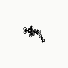 COC(=O)c1cc(OC)c(NCc2cnn(COCC[Si](C)(C)C)c2)c([N+](=O)[O-])c1